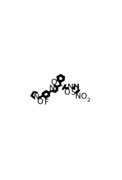 CC(C)(C(=O)Nc1ncc([N+](=O)[O-])s1)[C@H]1c2ccccc2Oc2nc(-c3ccc(C(=O)N4CCCC4)c(F)c3)ccc21